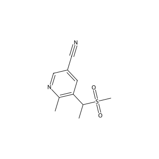 Cc1ncc(C#N)cc1C(C)S(C)(=O)=O